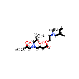 C=CC(C)CN(CCOC(=O)CCCN(CC(O)CCCCCCCC)CC(O)CCCCCCCC)C(C)CC